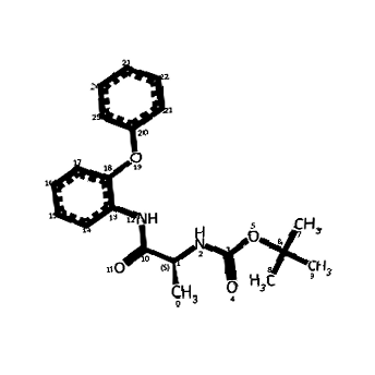 C[C@H](NC(=O)OC(C)(C)C)C(=O)Nc1ccccc1Oc1ccccc1